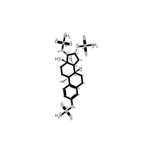 C[C@]12CC[C@@H]3c4ccc(OS(N)(=O)=O)cc4CC[C@H]3[C@@H]1C[C@@H](OS(N)(=O)=O)[C@@H]2OS(N)(=O)=O